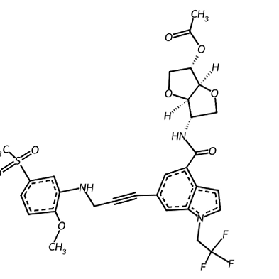 COc1ccc(S(C)(=O)=O)cc1NCC#Cc1cc(C(=O)N[C@H]2CO[C@H]3[C@@H]2OC[C@@H]3OC(C)=O)c2ccn(CC(F)(F)F)c2c1